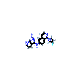 Fc1cnc2[nH]nc(Nc3ccc4c(N5CC[C@@H](F)C5)nccc4c3)c2c1